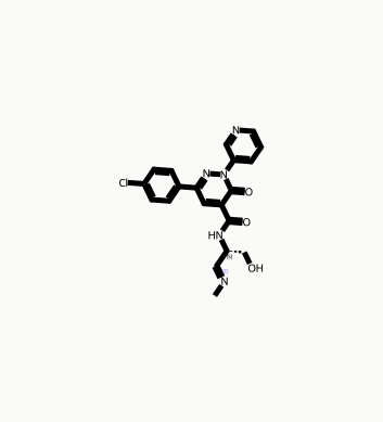 C/N=C/[C@@H](CO)NC(=O)c1cc(-c2ccc(Cl)cc2)nn(-c2cccnc2)c1=O